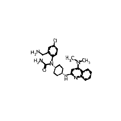 CN(C)c1cc(N[C@H]2CC[C@@H](N(C(N)=O)c3ccc(Cl)cc3CN)CC2)nc2ccccc12